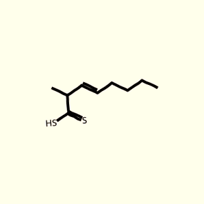 CCCC/C=C/C(C)C(=S)S